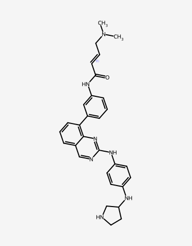 CN(C)C/C=C/C(=O)Nc1cccc(-c2cccc3cnc(Nc4ccc(NC5CCNC5)cc4)nc23)c1